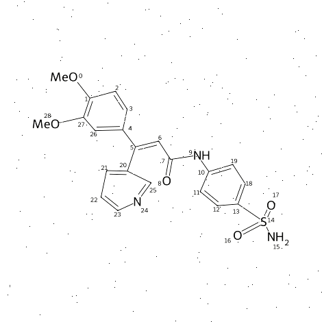 COc1ccc(/C(=C/C(=O)Nc2ccc(S(N)(=O)=O)cc2)c2cccnc2)cc1OC